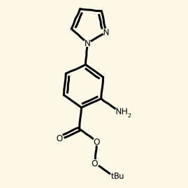 CC(C)(C)OOC(=O)c1ccc(-n2cccn2)cc1N